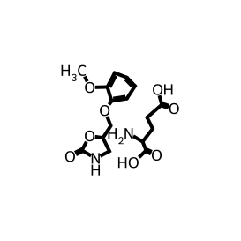 COc1ccccc1OCC1CNC(=O)O1.NC(CCC(=O)O)C(=O)O